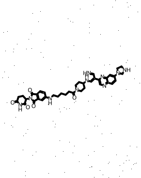 N=C/C(=C\NC1CCN(C(=O)CCCCCNc2ccc3c(c2)C(=O)N(C2CCC(=O)NC2=O)C3=O)CC1)c1cnc2ccc(N3CCNC3)cc2n1